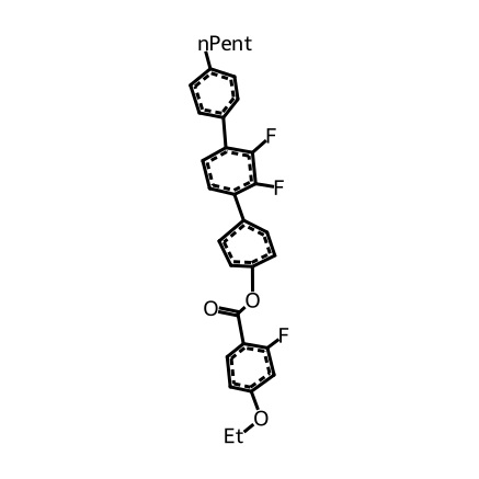 CCCCCc1ccc(-c2ccc(-c3ccc(OC(=O)c4ccc(OCC)cc4F)cc3)c(F)c2F)cc1